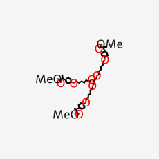 C=C(C(=O)OC)c1ccc(OCCCCCCOCC(COCCCCCCOc2ccc(C(=C)C(=O)OC)cc2)OCCCCCCOc2ccc(C(=C)C(=O)OC)cc2)cc1